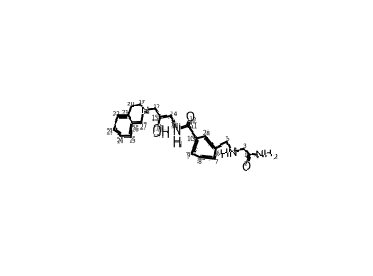 NC(=O)CNCc1cccc(C(=O)NCC(O)CN2CCc3ccccc3C2)c1